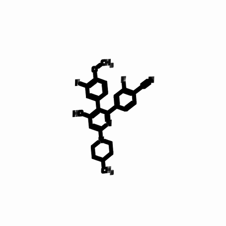 COc1ccc(-c2c(O)cc(N3CCC(C)CC3)nc2-c2ccc(C#N)c(F)c2)cc1F